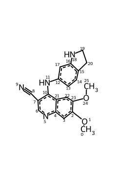 COc1cc2ncc(C#N)c(Nc3ccc4c(c3)NCC4)c2cc1OC